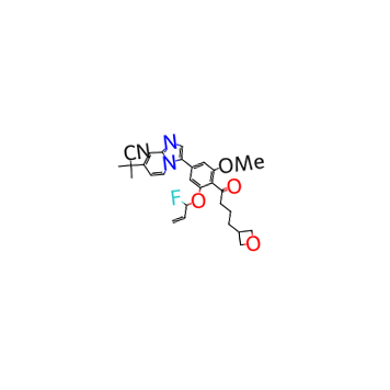 C=CC(F)Oc1cc(-c2cnc3cc(C(C)(C)C#N)ccn23)cc(OC)c1C(=O)CCCC1COC1